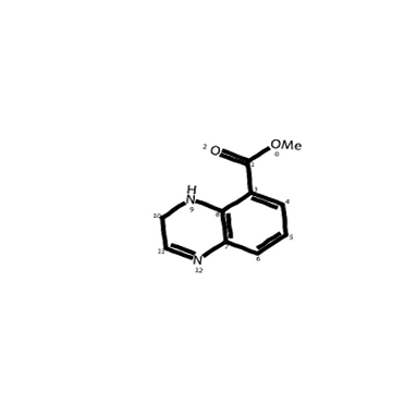 COC(=O)c1cccc2c1NCC=N2